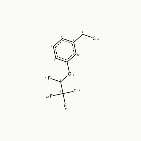 FC(Oc1cccc(CCl)c1)C(F)(F)F